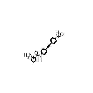 NN1CCC[C@H]1C(=O)Nc1ccc(C#Cc2ccc(NC=O)cc2)cc1